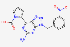 Nc1nc(-c2cccn2C(=O)O)c2nnn(Cc3cccc([N+](=O)[O-])c3)c2n1